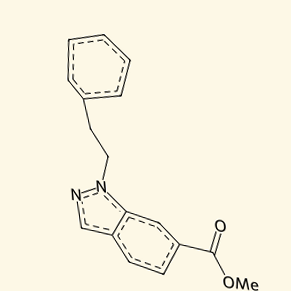 COC(=O)c1ccc2cnn(CCc3ccccc3)c2c1